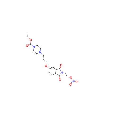 CCOC(=O)N1CCN(CCCOc2ccc3c(c2)C(=O)N(CCO[N+](=O)[O-])C3=O)CC1